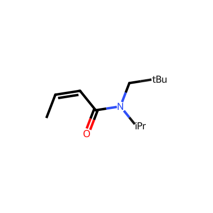 C/C=C\C(=O)N(CC(C)(C)C)C(C)C